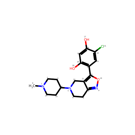 CN1CCC(N2CCc3noc(-c4cc(Cl)c(O)cc4O)c3C2)CC1